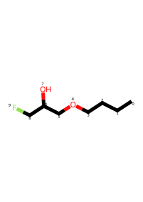 CCCCOCC(O)CF